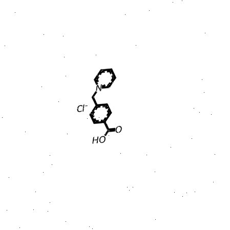 O=C(O)c1ccc(C[n+]2ccccc2)cc1.[Cl-]